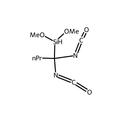 CCCC(N=C=O)(N=C=O)[SiH](OC)OC